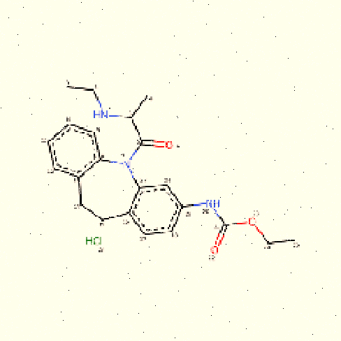 CCNC(C)C(=O)N1c2ccccc2CCc2ccc(NC(=O)OCC)cc21.Cl